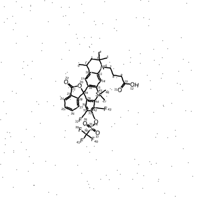 CC1CC(C)(C)N(CCCC(=O)O)c2cc3c(cc21)C1(OC(=O)c2ccccc21)c1cc(F)c(OS(=O)(=O)C(F)(F)F)c(F)c1[Si]3(C)C